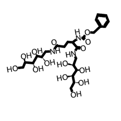 O=C(CCC(NC(=O)OCc1ccccc1)C(=O)NC[C@H](O)[C@@H](O)[C@H](O)[C@H](O)CO)NC[C@H](O)[C@@H](O)[C@H](O)[C@H](O)CO